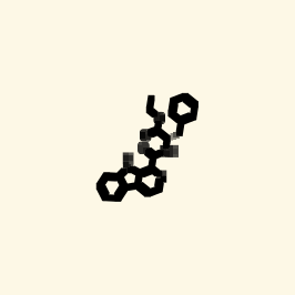 CCOC(=O)[C@H](Cc1ccccc1)NC(=O)c1nccc2c1[nH]c1ccccc12